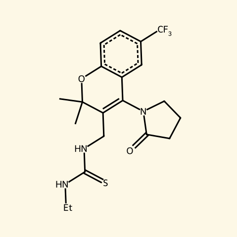 CCNC(=S)NCC1=C(N2CCCC2=O)c2cc(C(F)(F)F)ccc2OC1(C)C